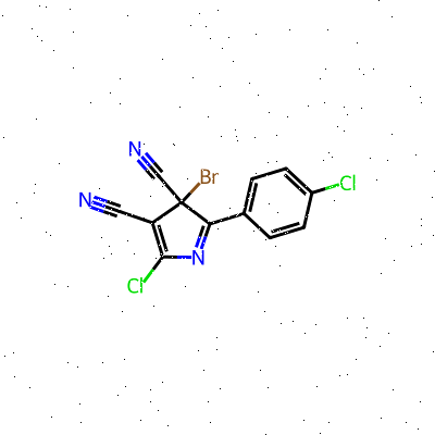 N#CC1=C(Cl)N=C(c2ccc(Cl)cc2)C1(Br)C#N